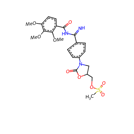 COc1ccc(C(=O)NC(=N)c2ccc(N3CC(COS(C)(=O)=O)OC3=O)cc2)c(OC)c1OC